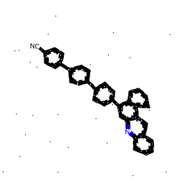 N#Cc1ccc(-c2ccc(-c3ccc(-c4cc5nc6ccccc6cc5c5ccccc45)cc3)cc2)cc1